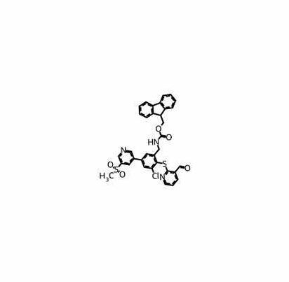 CS(=O)(=O)c1cncc(-c2cc(Cl)c(Sc3ncccc3C=O)c(CNC(=O)OCC3c4ccccc4-c4ccccc43)c2)c1